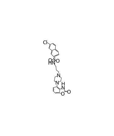 O=c1[nH]c2c(N3CCN(CCCNS(=O)(=O)c4ccc5ccc(Cl)cc5c4)CC3)cccc2o1